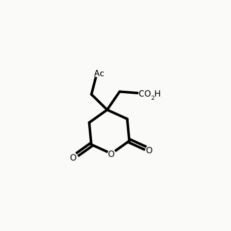 CC(=O)CC1(CC(=O)O)CC(=O)OC(=O)C1